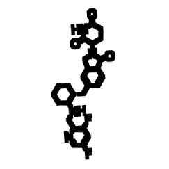 O=C1CCC(N2Cc3cc(C[C@H]4CCCC[C@@H]4NCc4ncc(F)cc4F)ccc3C2=O)C(=O)N1